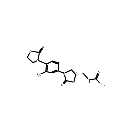 CC(=S)NC[C@H]1CN(c2ccc(N3CCOC3=O)c(C(F)(F)F)c2)C(=O)O1